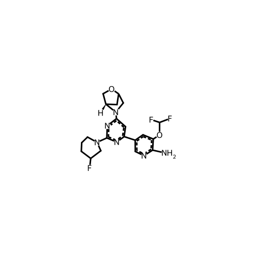 Nc1ncc(-c2cc(N3CC4C[C@H]3CO4)nc(N3CCCC(F)C3)n2)cc1OC(F)F